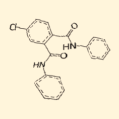 O=C(Nc1ccccc1)c1ccc(Cl)cc1C(=O)Nc1ccccc1